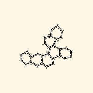 c1ccc2cc3c(ccc4c5ccccc5c5c6ccccc6ccc5c34)cc2c1